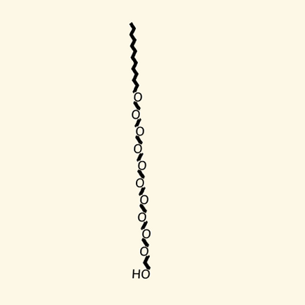 CCCCCCCCCCCCCOCCOCCOCCOCCOCCOCCOCCOCCOCCOCCCO